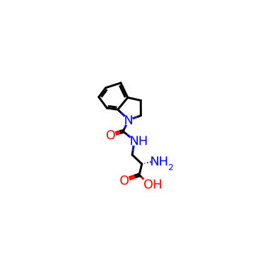 N[C@@H](CNC(=O)N1CCc2ccccc21)C(=O)O